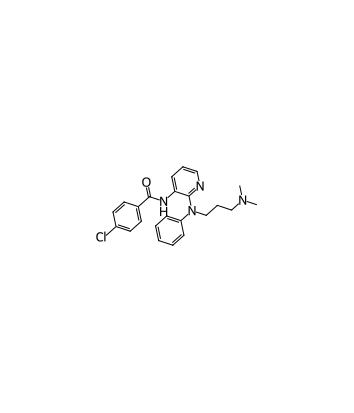 CN(C)CCCN(c1ccccc1)c1ncccc1NC(=O)c1ccc(Cl)cc1